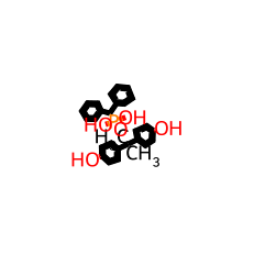 CC(C)(c1ccc(O)cc1)c1ccc(O)cc1.O=P(O)(O)C(c1ccccc1)c1ccccc1